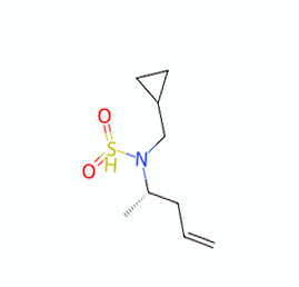 C=CC[C@H](C)N(CC1CC1)[SH](=O)=O